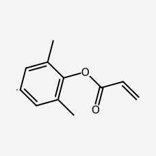 C=CC(=O)Oc1c(C)c[c]cc1C